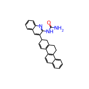 NC(=O)Nc1nc2ccccc2cc1C1C=CC2=C(CCc3c2ccc2ccccc32)C1